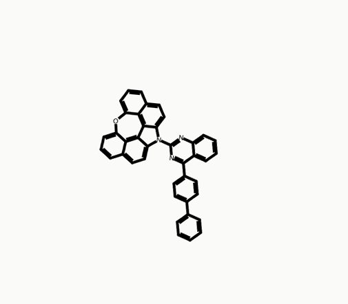 c1ccc(-c2ccc(-c3nc(-n4c5ccc6cccc7oc8cccc9ccc4c(c98)c5c67)nc4ccccc34)cc2)cc1